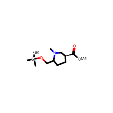 COC(=O)[C@H]1CCC(CO[Si](C)(C)C(C)(C)C)N(C)C1